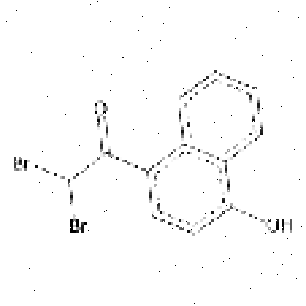 O=C(c1ccc(O)c2ccccc12)C(Br)Br